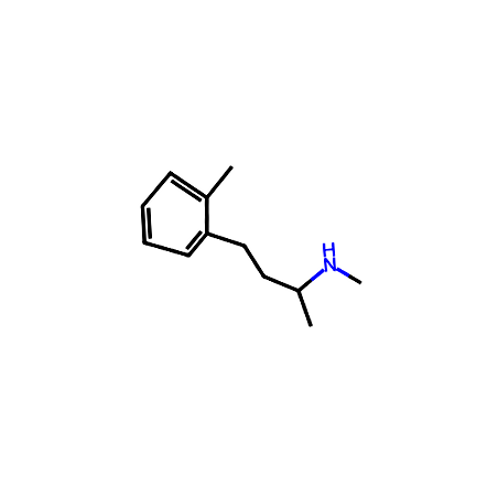 CNC(C)CCc1ccccc1C